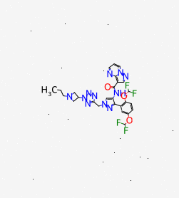 CCCN1CC(n2nnc(Cn3cc(NC(=O)c4cnn5cccnc45)c(-c4cc(OC(F)F)ccc4OC(F)F)n3)n2)C1